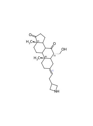 C[C@]12CC/C(=C\CC3CNC3)CC1[C@@H](CO)C(=O)C1C2CC[C@]2(C)C(=O)CCC12